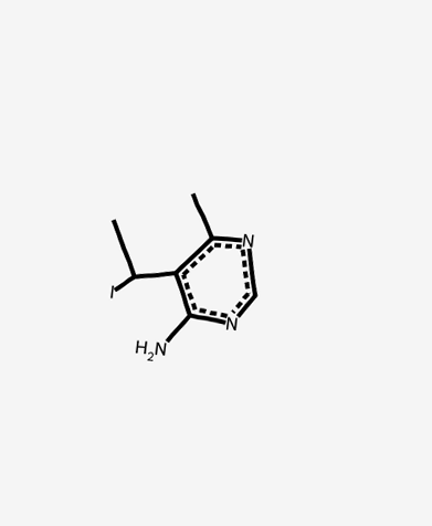 Cc1ncnc(N)c1C(C)I